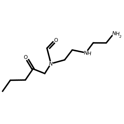 CCCC(=O)CN(C=O)CCNCCN